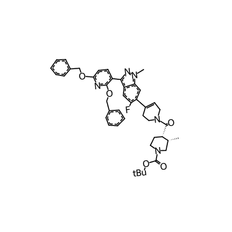 C[C@@H]1CN(C(=O)OC(C)(C)C)CC[C@@H]1C(=O)N1CC=C(c2cc3c(cc2F)c(-c2ccc(OCc4ccccc4)nc2OCc2ccccc2)nn3C)CC1